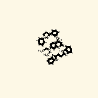 C(=Cc1nc2ccccc2[nH]1)c1nc2ccccc2[nH]1.CCN(CC)c1ccc2c(C)cc(=O)oc2c1.c1ccc(C2=NN(c3ccccc3)CC2)cc1